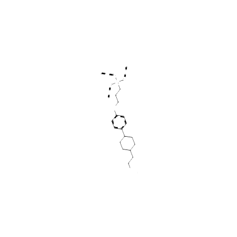 CCCC1CCC(c2ccc(OCCC[Si](N=C=S)(N=C=S)N=C=S)cc2)CC1